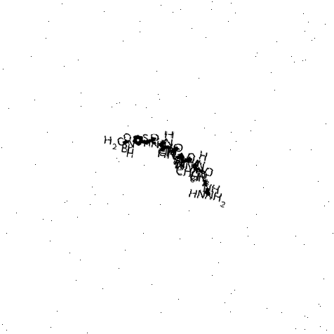 C=C(Br)C(=O)Nc1ccc2sc(C(=O)Nc3c[nH]c(C(=O)Nc4cc(C(=O)Nc5c[nH]c(C(=O)NCCNC(=N)N)c5C)n(C)c4)c3C)cc2c1